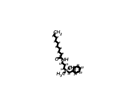 C=CCCCCCCCC(=O)NCCC[N+](C)(C)Cc1ccccc1